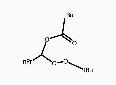 CCCC(OOC(C)(C)C)OC(=O)C(C)(C)C